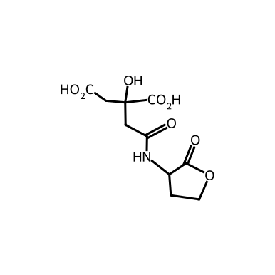 O=C(O)CC(O)(CC(=O)NC1CCOC1=O)C(=O)O